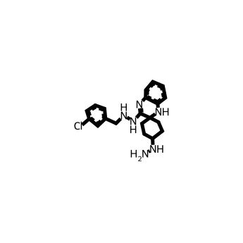 NNC1CCC2(CC1)Nc1ccccc1N=C2NNCc1cccc(Cl)c1